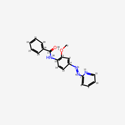 COc1cc(N=Nc2ccccn2)ccc1NC(=O)c1ccccc1